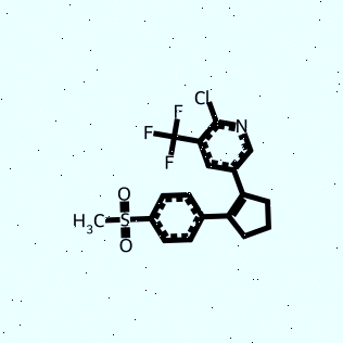 CS(=O)(=O)c1ccc(C2=C(c3cnc(Cl)c(C(F)(F)F)c3)CCC2)cc1